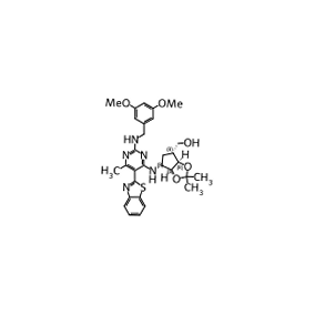 COc1cc(CNc2nc(C)c(-c3nc4ccccc4s3)c(N[C@@H]3C[C@H](CO)[C@H]4OC(C)(C)O[C@H]43)n2)cc(OC)c1